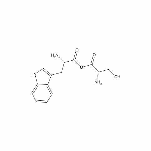 N[C@@H](CO)C(=O)OC(=O)[C@@H](N)Cc1c[nH]c2ccccc12